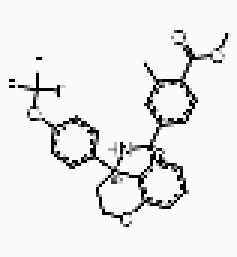 COC(=O)c1ccc(C(=O)N[C@]2(c3ccc(OC(F)(F)F)cc3)CCOc3cccnc32)cc1C